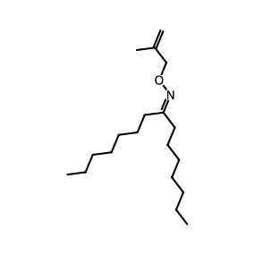 C=C(C)CON=C(CCCCCCC)CCCCCCC